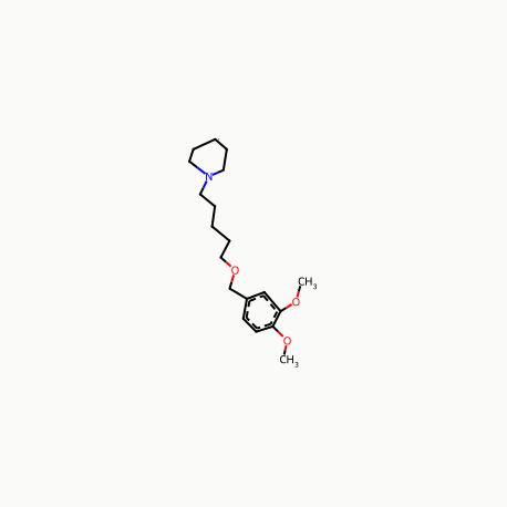 COc1ccc(COCCCCCN2CC[CH]CC2)cc1OC